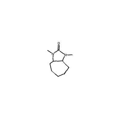 CN1C(=O)N(C)C2CCCCCC21